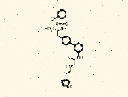 O=C(CNCCc1c[nH]cn1)Nc1cccc(-c2ccc(C[C@@H](NS(=O)(=O)c3ccccc3Cl)C(=O)O)cc2)c1